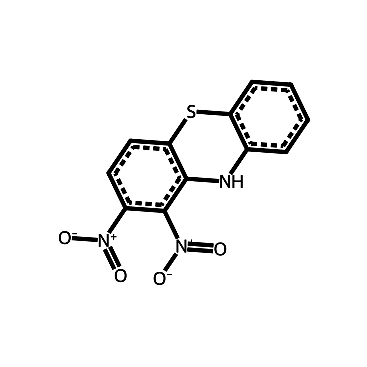 O=[N+]([O-])c1ccc2c(c1[N+](=O)[O-])Nc1ccccc1S2